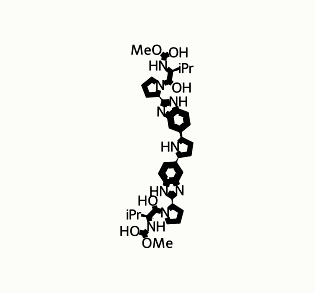 COC(O)N[C@@H](C(C)C)C(O)N1CCC[C@H]1c1nc2cc([C@H]3CC[C@H](c4ccc5[nH]c([C@@H]6CCCN6C(O)[C@@H](NC(O)OC)C(C)C)nc5c4)N3)ccc2[nH]1